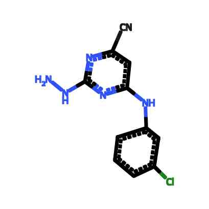 N#Cc1cc(Nc2cccc(Cl)c2)nc(NN)n1